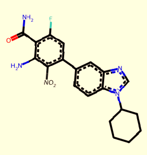 NC(=O)c1c(F)cc(-c2ccc3c(c2)ncn3C2CCCCC2)c([N+](=O)[O-])c1N